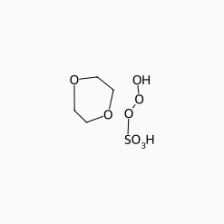 C1COCCO1.O=S(=O)(O)OOO